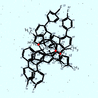 Cc1ccc(C2=Cc3c(-c4ccc(F)cc4)cccc3[C]23[SiH](C)[C]2(C(c4ccc(C)o4)=Cc4c(-c5ccc(F)cc5)cccc42)[Hf]32([Cl])([Cl])[C]3(C(c4ccc(C)o4)=Cc4c(-c5ccc(F)cc5)cccc43)[SiH](C)[C]23C(c2ccc(C)o2)=Cc2c(-c4ccc(F)cc4)cccc23)o1